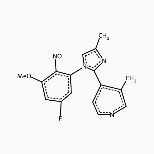 COc1cc(F)cc(-n2cc(C)nc2-c2ccncc2C)c1N=O